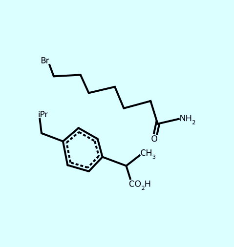 CC(C)Cc1ccc(C(C)C(=O)O)cc1.NC(=O)CCCCCCBr